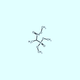 CO[PH](=O)C(C)P(=O)(OC)OC